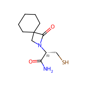 NC(=O)[C@@H](CS)N1CC2(CCCCC2)C1=O